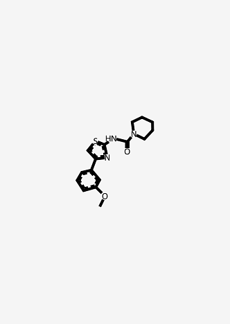 COc1cccc(-c2csc(NC(=O)N3CCCCC3)n2)c1